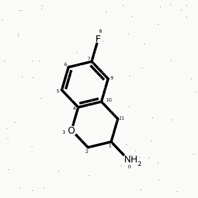 NC1COc2ccc(F)cc2C1